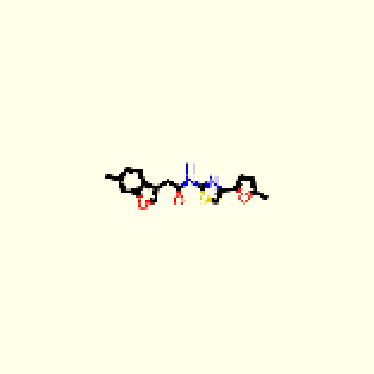 Cc1ccc2c(CC(=O)Nc3nc(-c4ccc(C)o4)cs3)coc2c1